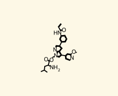 C=CC(=O)Nc1cccc(-c2cnc3c(c2)c(-c2ccnc(OC)c2)cn3COC(=O)C(N)CC(C)C)c1